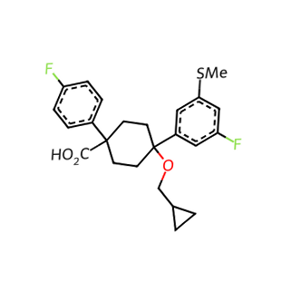 CSc1cc(F)cc(C2(OCC3CC3)CCC(C(=O)O)(c3ccc(F)cc3)CC2)c1